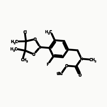 Cc1cc(CN(C)C(=O)OC(C)(C)C)cc(F)c1B1OC(C)(C)C(C)(Cl)O1